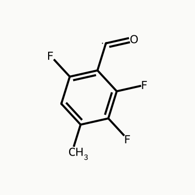 Cc1cc(F)c([C]=O)c(F)c1F